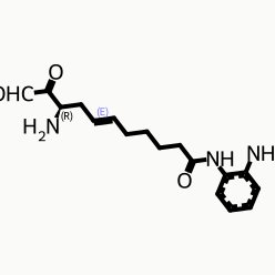 Nc1ccccc1NC(=O)CCCC/C=C/C[C@@H](N)C(=O)C=O